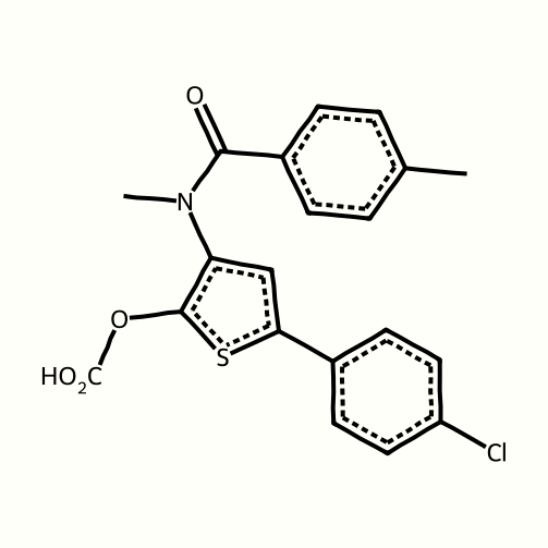 Cc1ccc(C(=O)N(C)c2cc(-c3ccc(Cl)cc3)sc2OC(=O)O)cc1